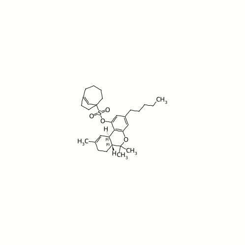 CCCCCc1cc2c(c(OS(=O)(=O)C34C=C(CCCC3)CC4)c1)[C@@H]1C=C(C)CC[C@H]1C(C)(C)O2